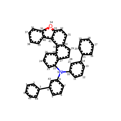 c1ccc(-c2cccc(N(c3cccc(-c4ccccc4)c3)c3cccc4c3ccc3ccc5oc6ccccc6c5c34)c2)cc1